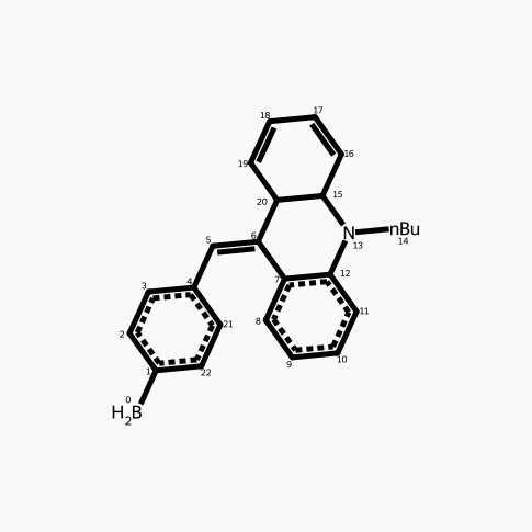 Bc1ccc(/C=C2\c3ccccc3N(CCCC)C3C=CC=CC23)cc1